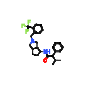 CC(C)C(C(=O)NC1CCC2CN(Cc3ccccc3C(F)(F)F)CC21)c1ccccc1